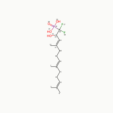 CC(C)=CCC/C(C)=C/CC/C(C)=C/C(O)C(F)(F)P(=O)(O)O